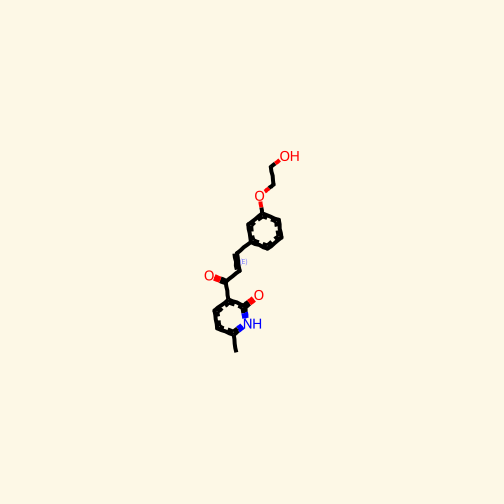 Cc1ccc(C(=O)/C=C/c2cccc(OCCO)c2)c(=O)[nH]1